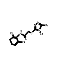 CCC1=CCCC(CC)=C1NC(=O)CSc1nnc(C(C)C)n1CC